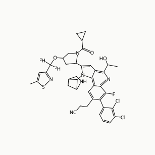 [2H]C([2H])(OC1CC(c2cc3c(C(C)O)nc4c(F)c(-c5cccc(Cl)c5Cl)c(CCC#N)cc4c3n2C2C3CNC2C3)N(C(=O)C2CC2)C1)c1cc(C)sn1